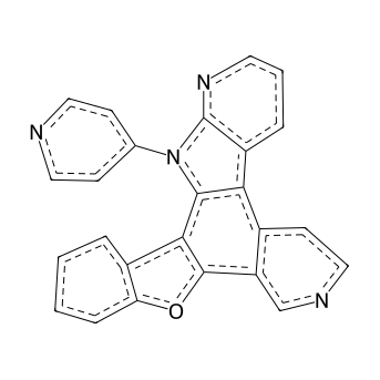 c1ccc2c(c1)oc1c3cnccc3c3c4cccnc4n(-c4ccncc4)c3c21